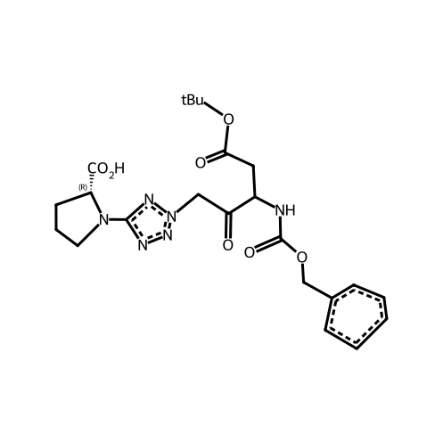 CC(C)(C)OC(=O)CC(NC(=O)OCc1ccccc1)C(=O)Cn1nnc(N2CCC[C@@H]2C(=O)O)n1